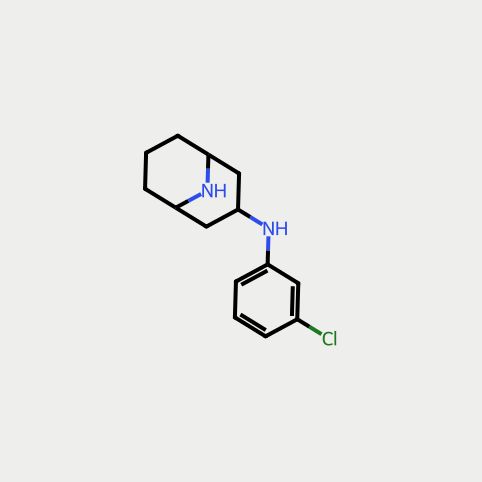 Clc1cccc(NC2CC3CCCC(C2)N3)c1